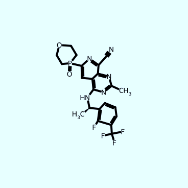 Cc1nc(N[C@H](C)c2cccc(C(F)(F)F)c2F)c2cc(P3(=O)CCOCC3)nc(C#N)c2n1